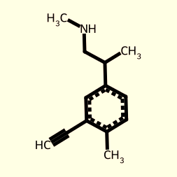 C#Cc1cc(C(C)CNC)ccc1C